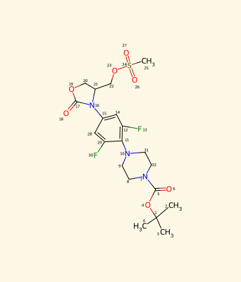 CC(C)(C)OC(=O)N1CCN(c2c(F)cc(N3C(=O)OCC3COS(C)(=O)=O)cc2F)CC1